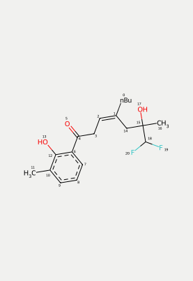 CCCC/C(=C/CC(=O)c1cccc(C)c1O)CC(C)(O)C(F)F